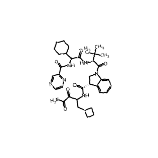 CC(C)(C)[C@H](NC(=O)[C@@H](NC(=O)c1cnccn1)C1CCCCC1)C(=O)N1C[C@@H](C(=O)NC(CC2CCC2)C(=O)C(N)=O)c2ccccc21